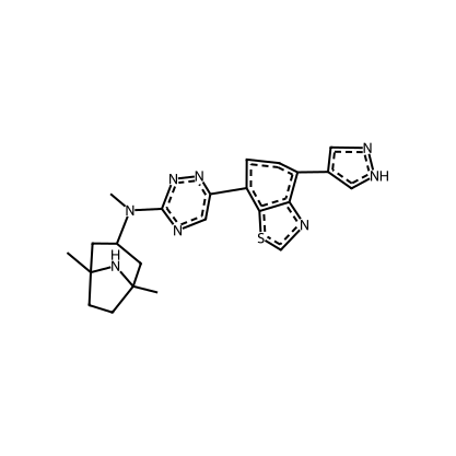 CN(c1ncc(-c2ccc(-c3cn[nH]c3)c3ncsc23)nn1)C1CC2(C)CCC(C)(C1)N2